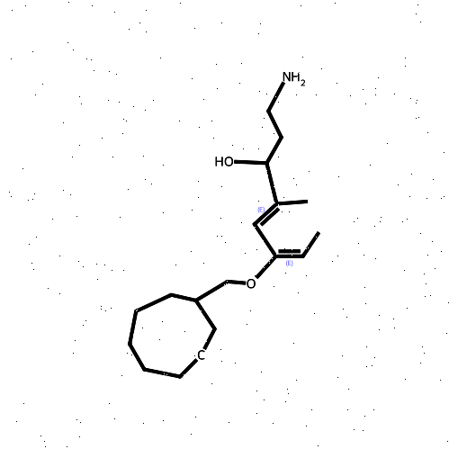 C/C=C(\C=C(/C)C(O)CCN)OCC1CCCCCCC1